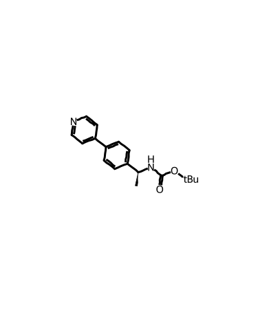 C[C@H](NC(=O)OC(C)(C)C)c1ccc(-c2ccncc2)cc1